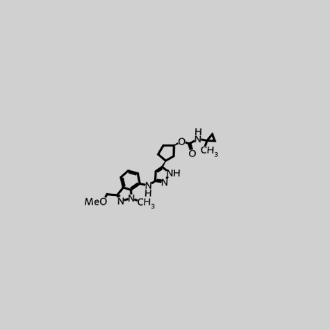 COCc1nn(C)c2c(Nc3cc([C@H]4CC[C@@H](OC(=O)NC5(C)CC5)C4)[nH]n3)cccc12